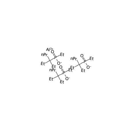 CCCC(CC)(CC)P(=O)([O-])CC.CCCC(CC)(CC)P(=O)([O-])CC.CCCC(CC)(CC)P(=O)([O-])CC.[Al+3]